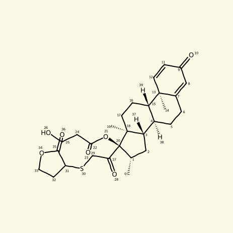 C[C@H]1C[C@H]2[C@@H]3CCC4=CC(=O)C=C[C@]4(C)[C@H]3CC[C@]2(C)[C@@]1(OC(=O)CCO)C(=O)CSC1CCOC1=O